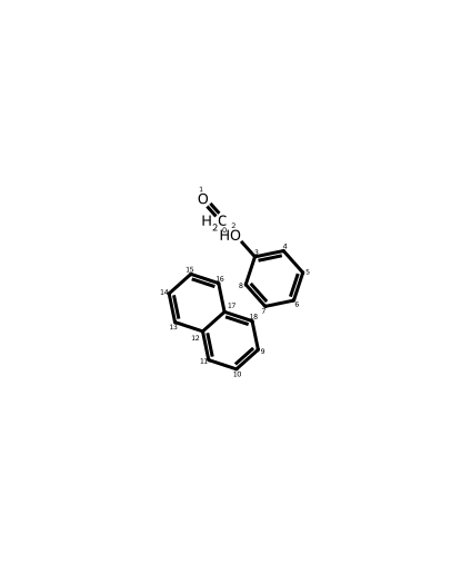 C=O.Oc1ccccc1.c1ccc2ccccc2c1